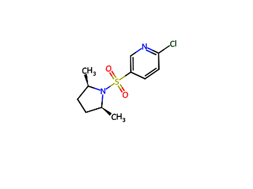 C[C@@H]1CC[C@H](C)N1S(=O)(=O)c1ccc(Cl)nc1